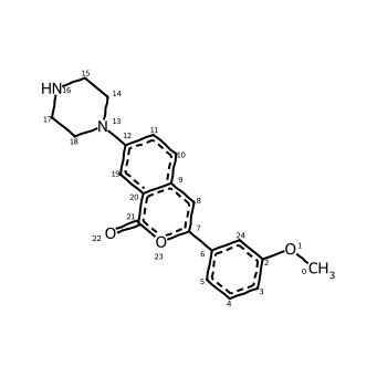 COc1cccc(-c2cc3ccc(N4CCNCC4)cc3c(=O)o2)c1